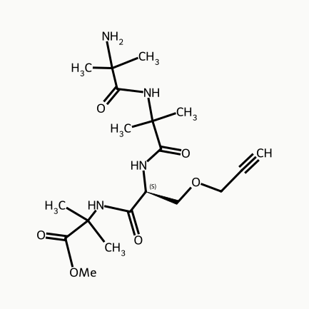 C#CCOC[C@H](NC(=O)C(C)(C)NC(=O)C(C)(C)N)C(=O)NC(C)(C)C(=O)OC